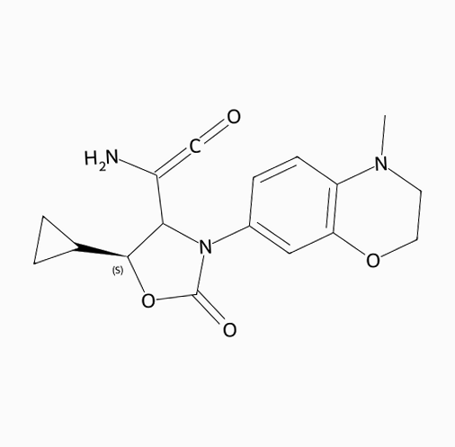 CN1CCOc2cc(N3C(=O)O[C@@H](C4CC4)C3C(N)=C=O)ccc21